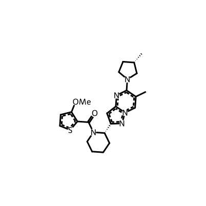 COc1ccsc1C(=O)N1CCCC[C@H]1c1cc2nc(N3CC[C@H](C)C3)c(C)cn2n1